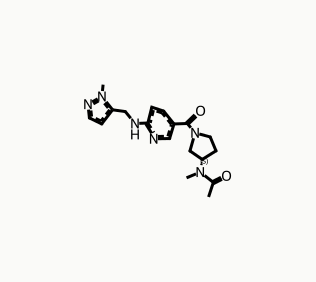 CC(=O)N(C)[C@H]1CCN(C(=O)c2ccc(NCc3ccnn3C)nc2)C1